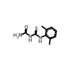 Cc1cccc(C)c1NC(=S)NC(N)=O